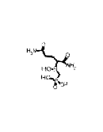 NC(=O)CCC(C(N)=O)N(O)CP(=O)(O)O